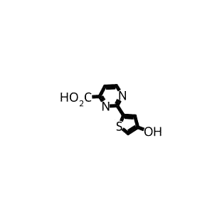 O=C(O)c1ccnc(-c2cc(O)cs2)n1